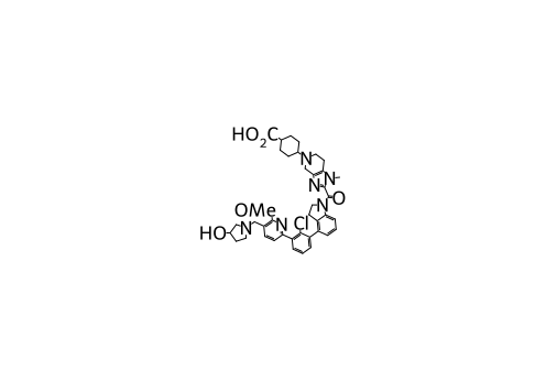 COc1nc(-c2cccc(-c3cccc4c3CCN4C(=O)c3nc4c(n3C)CCN(C3CCC(C(=O)O)CC3)C4)c2Cl)ccc1CN1CCC(O)C1